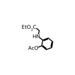 CCOC(=O)CNc1ccccc1OC(C)=O